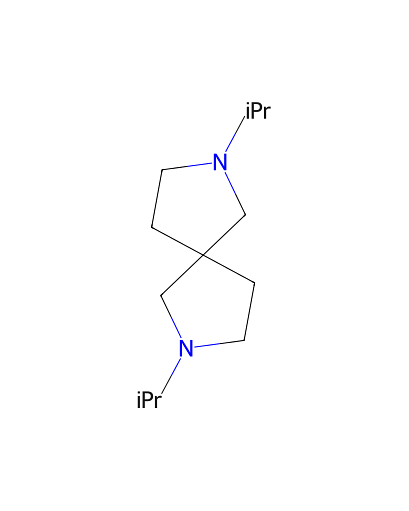 CC(C)N1CCC2(CCN(C(C)C)C2)C1